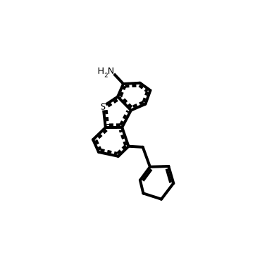 Nc1cccc2c1sc1cccc(CC3=CCCC=C3)c12